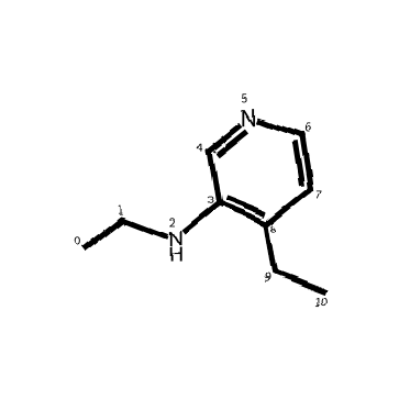 CCNc1[c]nccc1CC